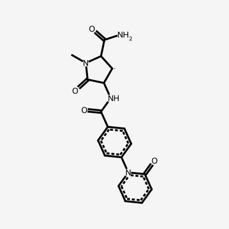 CN1C(=O)C(NC(=O)c2ccc(-n3ccccc3=O)cc2)[CH]C1C(N)=O